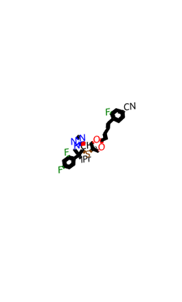 CC(C)C(Cn1cncn1)(c1ccc(F)cc1F)C(C)SC1COC(/C=C/C=C/c2ccc(C#N)cc2F)OC1